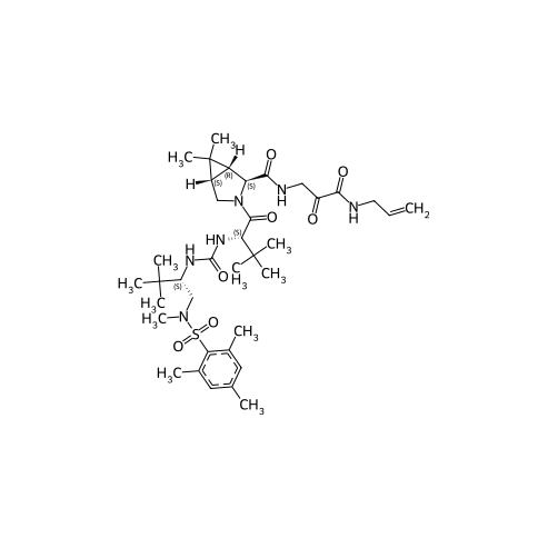 C=CCNC(=O)C(=O)CNC(=O)[C@@H]1[C@@H]2[C@H](CN1C(=O)[C@@H](NC(=O)N[C@H](CN(C)S(=O)(=O)c1c(C)cc(C)cc1C)C(C)(C)C)C(C)(C)C)C2(C)C